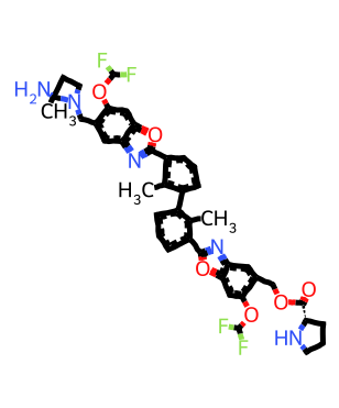 Cc1c(-c2nc3cc(COC(=O)[C@@H]4CCCN4)c(OC(F)F)cc3o2)cccc1-c1cccc(-c2nc3cc(CN4CCC4(C)N)c(OC(F)F)cc3o2)c1C